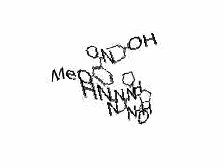 COc1cc(C(=O)N2CCC(O)CC2)ccc1Nc1ncc2c(n1)N(C1CCCC1)[C@@H]1CCC[C@@H]1C(=O)N2C